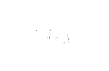 COC(=O)BN1C=CN(C)C1